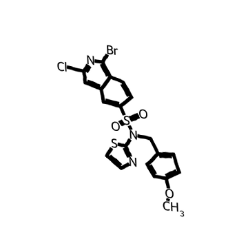 COc1ccc(CN(c2nccs2)S(=O)(=O)c2ccc3c(Br)nc(Cl)cc3c2)cc1